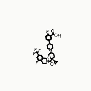 O=C(O)c1cc(C2CCN([C@@H]3CC[C@@](C(=O)N4CCc5c(F)cc(C(F)(F)F)cc5C4)(C4CC4)OC3)CC2)ccc1F